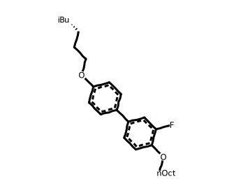 CCCCCCCCOc1ccc(-c2ccc(OCCC[C@@H](C)CC)cc2)cc1F